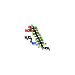 C=CCN.CCC(F)(F)C(F)(F)C(F)(F)C(F)(F)C(F)(F)C(F)(F)C(F)(F)C(F)(F)S(=O)(=O)O